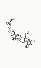 Cc1cc(OC2CN(C(=O)O)C2)ncc1NC(=O)N1CCN(c2nc(N)nc3scnc23)[C@@H](C)C1